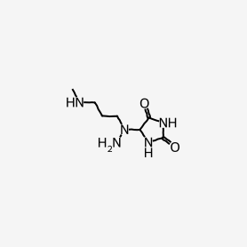 CNCCCN(N)C1NC(=O)NC1=O